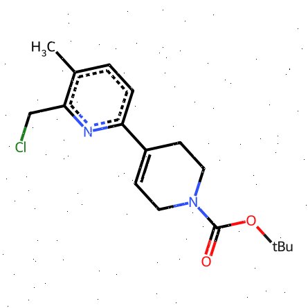 Cc1ccc(C2=CCN(C(=O)OC(C)(C)C)CC2)nc1CCl